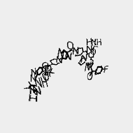 CN[C@@H](C)C(=O)N[C@H](C(=O)N1CCC[C@H]1c1nc(C(=O)c2ccc(F)cc2)cs1)C1CCN(C(=O)c2cnc(N3CCC(COc4cc5ncnc(Nc6n[nH]c(C)c6C)c5cc4S(=O)(=O)C(C)(C)C)CC3)cn2)CC1